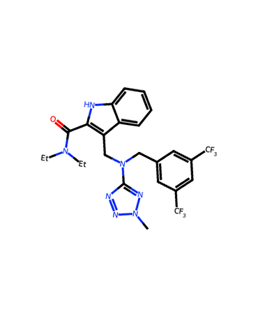 CCN(CC)C(=O)c1[nH]c2ccccc2c1CN(Cc1cc(C(F)(F)F)cc(C(F)(F)F)c1)c1nnn(C)n1